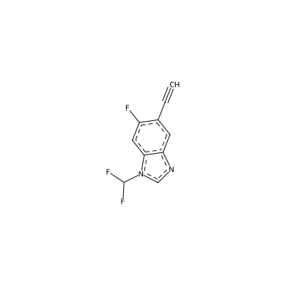 C#Cc1cc2ncn(C(F)F)c2cc1F